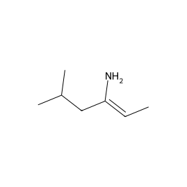 CC=C(N)CC(C)C